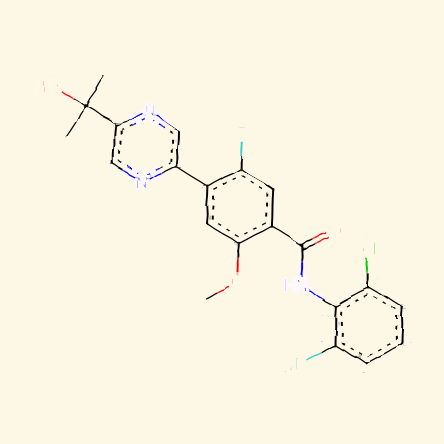 COc1cc(-c2cnc(C(C)(C)O)cn2)c(F)cc1C(=O)Nc1c(F)cccc1Cl